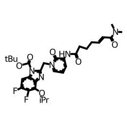 CC(C)Oc1c(F)c(F)cc2c1nc(Cn1cccc(NC(=O)CCC/C=C/C(=O)N(C)C)c1=O)n2C(=O)OC(C)(C)C